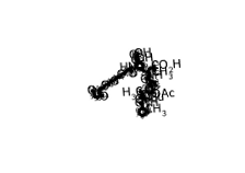 CC[C@H](C)C(NC(=O)C1CCCCN1C)C(=O)N(C)[C@H](C[C@@H](OC(C)=O)c1nc(C(=O)N[C@@H](Cc2ccc(OP(=O)(O)O)c(NC(=O)CCOCCOCCOCCN3C(=O)C=CC3=O)c2)CC(C)C(=O)O)cs1)C(C)C